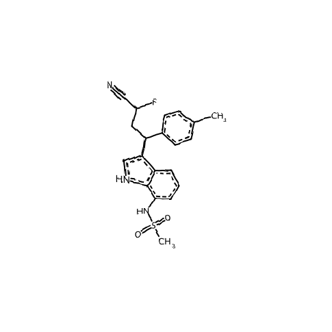 Cc1ccc(C(CC(F)C#N)c2c[nH]c3c(NS(C)(=O)=O)cccc23)cc1